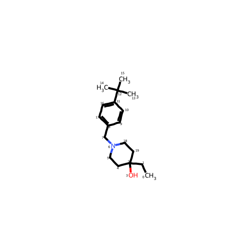 CCC1(O)CCN(Cc2ccc(C(C)(C)C)cc2)CC1